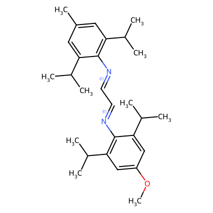 COc1cc(C(C)C)c(/N=C/C=N/c2c(C(C)C)cc(C)cc2C(C)C)c(C(C)C)c1